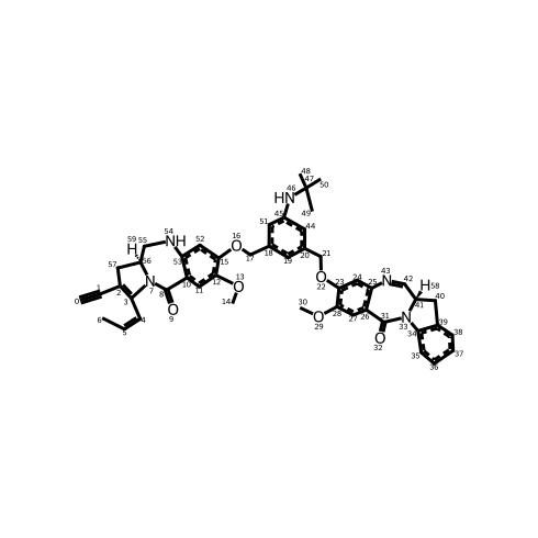 C#CC1=C(/C=C\C)N2C(=O)c3cc(OC)c(OCc4cc(COc5cc6c(cc5OC)C(=O)N5c7ccccc7C[C@H]5C=N6)cc(NC(C)(C)C)c4)cc3NC[C@@H]2C1